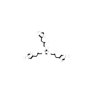 O=C(COP(=O)(OCC(=O)Cc1c[nH]cn1)OCC(=O)Cc1c[nH]cn1)Cc1c[nH]cn1